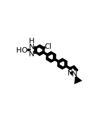 Oc1nc2cc(-c3ccc(-c4ccc(-c5ccn(C6CC6)n5)cc4)cc3)c(Cl)cc2[nH]1